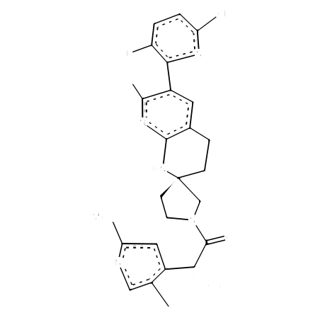 COc1cc([C@@H](C)C(=O)N2CC[C@@]3(CCc4cc(-c5nc(C(F)(F)F)ccc5F)c(C)nc4N3)C2)c(F)cn1